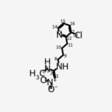 CNC(=C[N+](=O)[O-])NCCCCc1ncccc1Cl